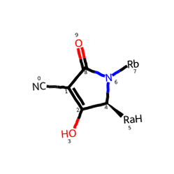 N#CC1=C(O)[C@H]([RaH])[N]([Rb])C1=O